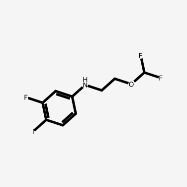 Fc1cc(NCCOC(F)F)ccc1I